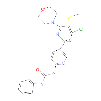 CSc1c(Cl)nc(-c2ccc(NC(=O)Nc3ccccc3)nc2)nc1N1CCOCC1